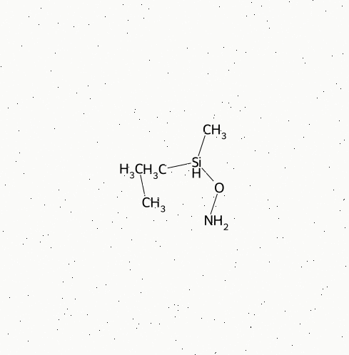 CC.C[SiH](C)ON